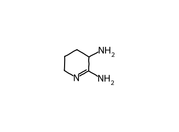 NC1=NCCCC1N